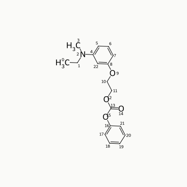 CCN(C)c1cccc(OCCOC(=O)Oc2ccccc2)c1